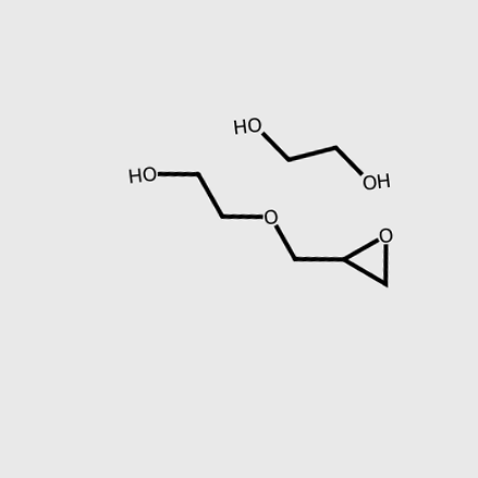 OCCO.OCCOCC1CO1